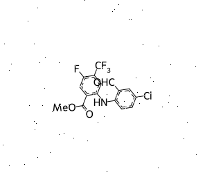 COC(=O)c1cc(F)c(C(F)(F)F)cc1Nc1ccc(Cl)cc1C=O